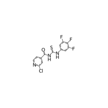 O=C(NC(=S)Nc1cc(F)c(F)c(F)c1)c1ccnc(Cl)c1